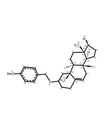 COc1ccc(COC2CCC3=CC[C@H]4[C@@H]5CC[C@H](C(C)=O)[C@@]5(C)CC[C@@H]4[C@@]3(C)C2)cc1